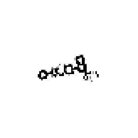 Cc1sc(-c2ccccc2)nc1CN1CCCN(c2cc(C(C)C)cc3cccnc23)CC1